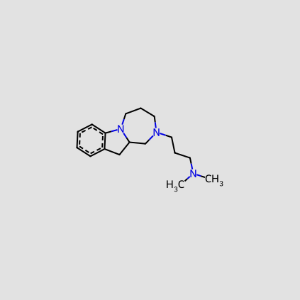 CN(C)CCCN1CCCN2c3ccccc3CC2C1